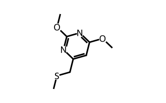 COc1cc(CSC)nc(OC)n1